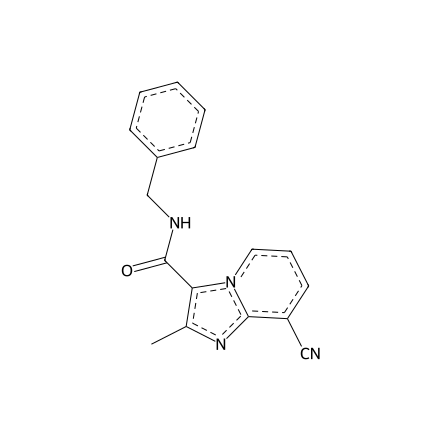 Cc1nc2c(C#N)cccn2c1C(=O)NCc1ccccc1